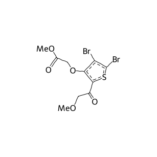 COCC(=O)c1sc(Br)c(Br)c1OCC(=O)OC